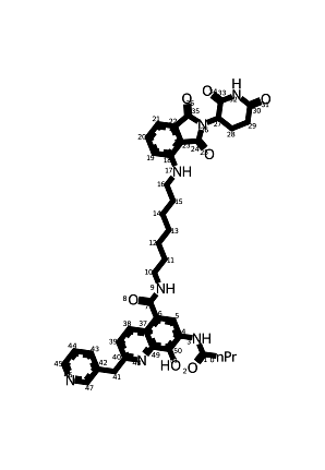 CCCC(=O)Nc1cc(C(=O)NCCCCCCCNc2cccc3c2C(=O)N(C2CCC(=O)NC2=O)C3=O)c2ccc(Cc3cccnc3)nc2c1O